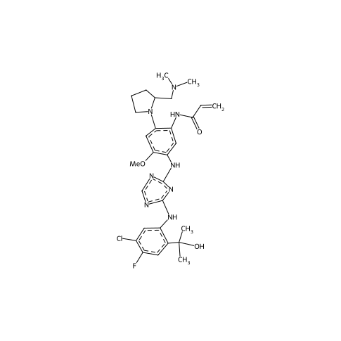 C=CC(=O)Nc1cc(Nc2ncnc(Nc3cc(Cl)c(F)cc3C(C)(C)O)n2)c(OC)cc1N1CCCC1CN(C)C